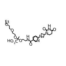 CCOCCOCCOC(C)(OCCNC(=O)c1ccc(N2CC(N3CCC(=O)NC3=O)C2)nc1)C(=O)O